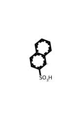 O=S(=O)(O)c1[c]c2ccccc2cc1